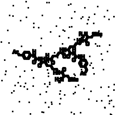 CSCC(N)C(=O)NCCCCC(NC(=O)CCCC(=O)NC(CCCCNC(=O)C(N)CSC)C(=O)NC(=O)Nc1ccc(CC(C)=O)cc1)C(=O)NC(=O)Nc1ccc(CC(C)=O)cc1